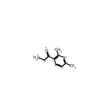 Cc1nc(C(F)(F)F)ccc1C(=O)CN